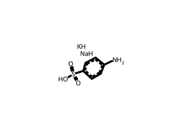 Nc1ccc(S(=O)(=O)O)cc1.[KH].[NaH]